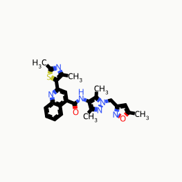 Cc1cc(Cn2nc(C)c(NC(=O)c3cc(-c4sc(C)nc4C)nc4ccccc34)c2C)no1